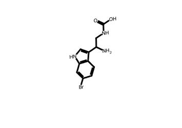 NC(CNC(=O)O)c1c[nH]c2cc(Br)ccc12